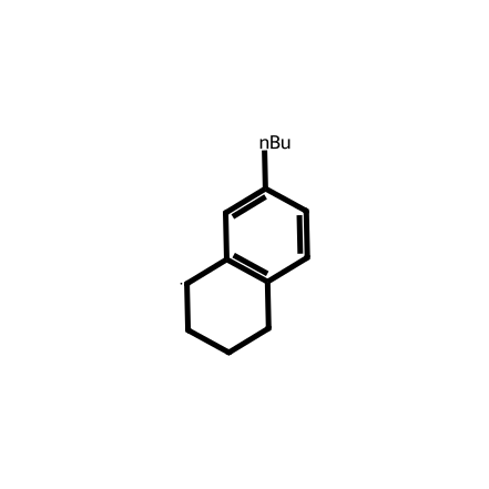 CCCCc1ccc2c(c1)[CH]CCC2